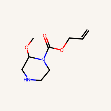 C=CCOC(=O)N1CCNCC1OC